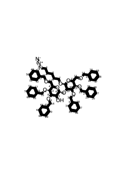 [N-]=[N+]=NCCCCCO[C@H]1OC(COCc2ccccc2)[C@@H](OCc2ccccc2)C(OCc2ccccc2)C1O[C@H]1OC(COCc2ccccc2)[C@@H](OCc2ccccc2)C(OCc2ccccc2)C1O